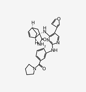 NC(=O)[C@]1(Nc2nc(Nc3cccc(C(=O)N4CCCC4)c3)ncc2-c2ccoc2)C[C@@H]2C=C[C@@H]1C2